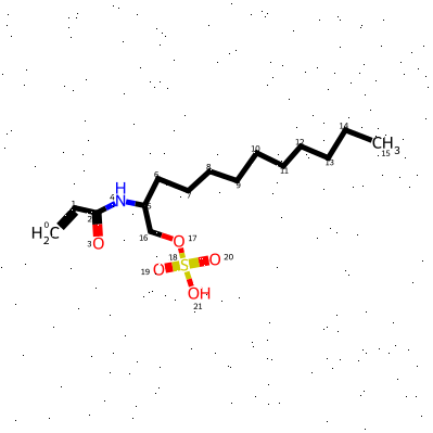 C=CC(=O)NC(CCCCCCCCCC)COS(=O)(=O)O